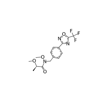 CO[C@H](C)C(=O)N(Cc1ccc(-c2noc(C(F)(F)F)n2)cc1)OC